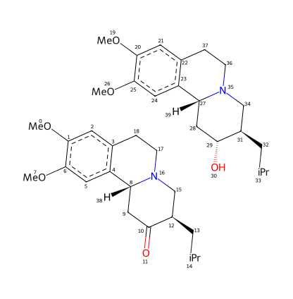 COc1cc2c(cc1OC)[C@H]1CC(=O)[C@H](CC(C)C)CN1CC2.COc1cc2c(cc1OC)[C@H]1C[C@@H](O)[C@H](CC(C)C)CN1CC2